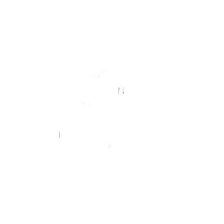 CN1CC[CH]CC1S(C)(=O)=O